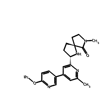 Cc1cc(-c2ccc(OC(C)C)nc2)cc([C@@H]2CC[C@]3(CCN(C)C3=O)N2)n1